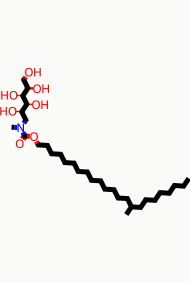 CCCCCCCCC(C)CCCCCCCCCCCCCCOC(=O)N(C)C[C@H](O)[C@@H](O)[C@H](O)[C@H](O)CO